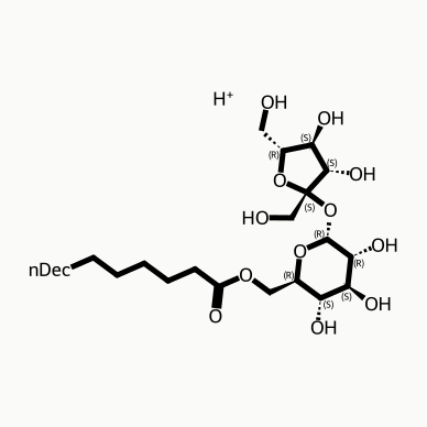 CCCCCCCCCCCCCCCC(=O)OC[C@H]1O[C@H](O[C@]2(CO)O[C@H](CO)[C@@H](O)[C@@H]2O)[C@H](O)[C@@H](O)[C@@H]1O.[H+]